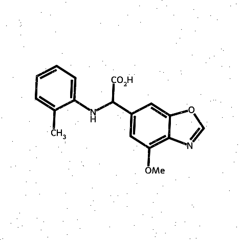 COc1cc(C(Nc2ccccc2C)C(=O)O)cc2ocnc12